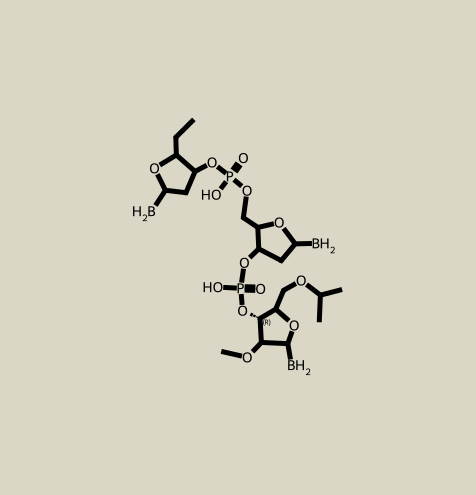 BC1CC(OP(=O)(O)OCC2OC(B)CC2OP(=O)(O)O[C@@H]2C(COC(C)C)OC(B)C2OC)C(CC)O1